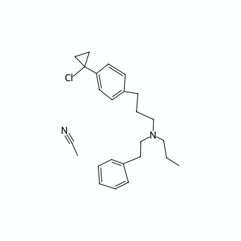 CC#N.CCCN(CCCc1ccc(C2(Cl)CC2)cc1)CCc1ccccc1